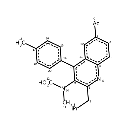 CC(=O)c1ccc2nc(CC(C)C)c(N(C)C(=O)O)c(-c3ccc(C)cc3)c2c1